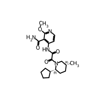 COc1nccc(NC(=O)C(=O)N2C[C@H](C)CC[C@@H]2C2CCCC2)c1C(N)=O